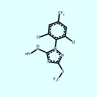 CCCNc1nc(SC(F)(F)F)nn1-c1c(Cl)cc(C(F)(F)F)cc1Cl